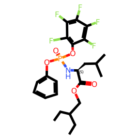 CCC(CC)COC(=O)[C@H](CC(C)C)NP(=O)(Oc1ccccc1)Oc1c(F)c(F)c(F)c(F)c1F